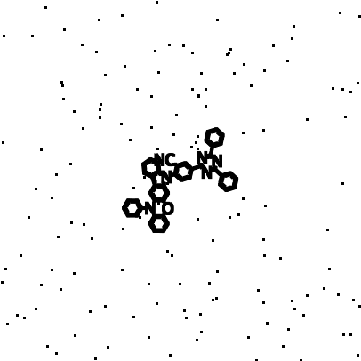 N#Cc1cc(-c2nc(-c3ccccc3)nc(-c3ccccc3)n2)ccc1-n1c2ccccc2c2cc3c(cc21)Oc1ccccc1N3c1ccccc1